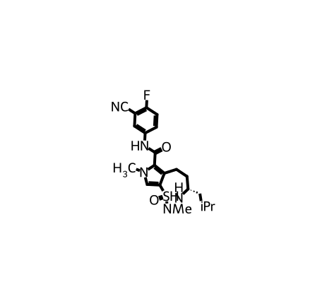 CN[SH]1(=O)N[C@@H](CC(C)C)CCc2c1cn(C)c2C(=O)Nc1ccc(F)c(C#N)c1